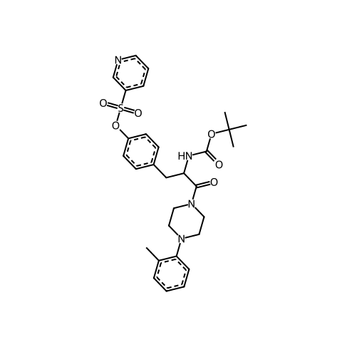 Cc1ccccc1N1CCN(C(=O)C(Cc2ccc(OS(=O)(=O)c3cccnc3)cc2)NC(=O)OC(C)(C)C)CC1